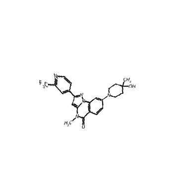 Cn1c(=O)c2ccc(N3CCC(C)(O)CC3)cc2n2nc(-c3ccnc(C(F)(F)F)c3)cc12